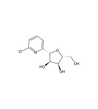 OC[C@H]1O[C@@H](c2cccc(Cl)n2)[C@H](O)[C@@H]1O